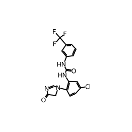 O=C1CN(c2ccc(Cl)cc2NC(=O)Nc2cccc(C(F)(F)F)c2)C=N1